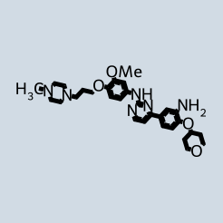 COc1cc(Nc2nccc(-c3ccc(OC4CCOCC4)c(N)c3)n2)ccc1OCCCN1CCN(C)CC1